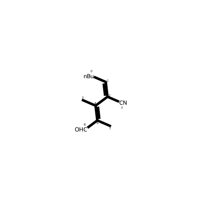 CCCC/C=C(C#N)\C(C)=C(/C)C=O